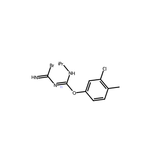 Cc1ccc(O/C(=N/C(=N)Br)NC(C)C)cc1Cl